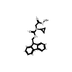 CC(C)(C)OC(=O)CN(C(=O)OCC1c2ccccc2-c2ccccc21)C1CC1